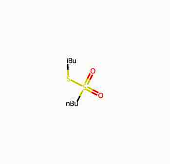 CCCCS(=O)(=O)SC(C)CC